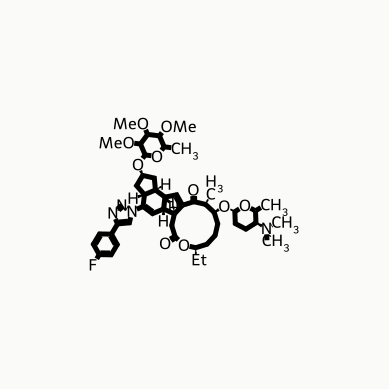 CC[C@H]1CCC[C@H](O[C@H]2CC[C@H](N(C)C)C(C)O2)[C@@H](C)C(=O)C2=C[C@@H]3[C@@H](C=C(n4cc(-c5ccc(F)cc5)nn4)[C@@H]4C[C@@H](OC5OC(C)C(OC)C(OC)C5OC)C[C@@H]34)[C@@H]2CC(=O)O1